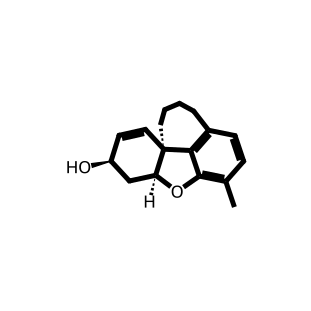 Cc1ccc2c3c1O[C@H]1C[C@@H](O)C=C[C@@]31CCCC2